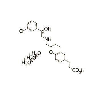 O.O.O.O.O.O=C(O)CCc1ccc2c(c1)CCC(CNC[C@H](O)c1cccc(Cl)c1)O2